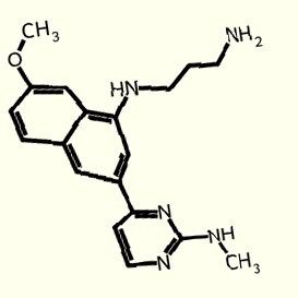 CNc1nccc(-c2cc(NCCCN)c3cc(OC)ccc3c2)n1